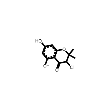 CC1(C)Oc2cc(O)cc(O)c2C(=O)C1Cl